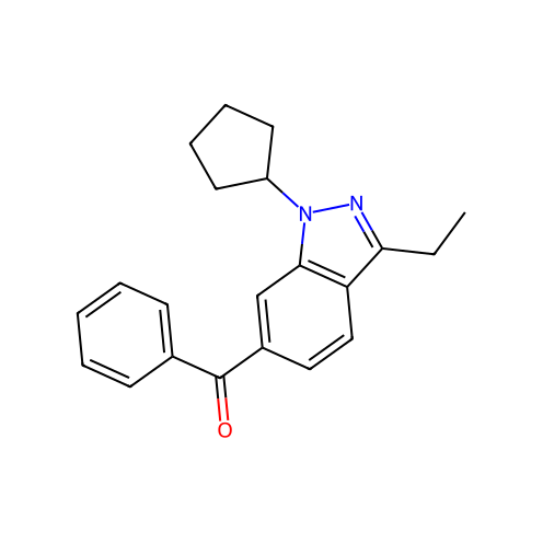 CCc1nn(C2CCCC2)c2cc(C(=O)c3ccccc3)ccc12